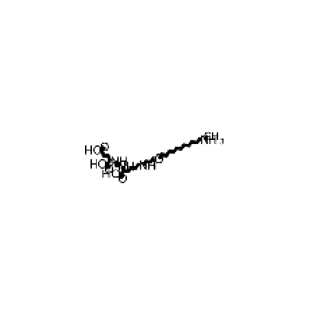 CNCCCCCCCCCCCOCCCNCCCCC(NCNC(CCC(=O)O)C(=O)O)C(=O)O